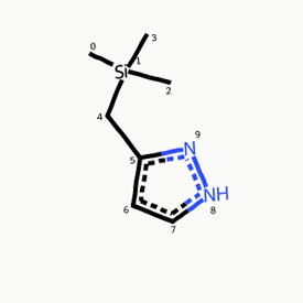 C[Si](C)(C)Cc1cc[nH]n1